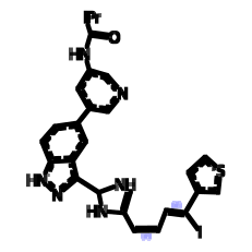 CC(C)C(=O)Nc1cncc(-c2ccc3[nH]nc(C4NC=C(/C=C\C=C(/I)c5ccsc5)N4)c3c2)c1